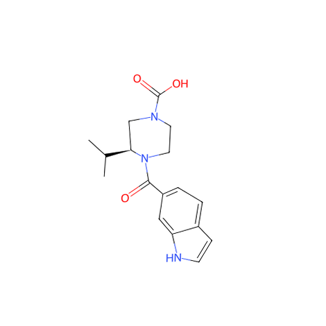 CC(C)[C@H]1CN(C(=O)O)CCN1C(=O)c1ccc2cc[nH]c2c1